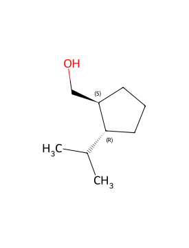 CC(C)[C@H]1CCC[C@@H]1CO